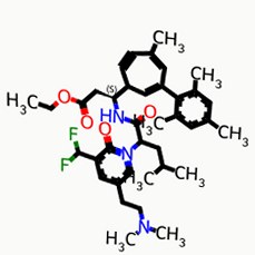 CCOC(=O)C[C@H](NC(=O)C(CC(C)C)n1cc(CCN(C)C)cc(C(F)F)c1=O)C1C#CC(C)=CC(c2c(C)cc(C)cc2C)=C1